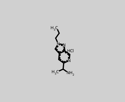 CCCn1cc2cc(C(C)N)ncc2n1.Cl